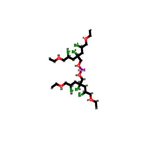 CCOCC(Br)CC(Br)(COPOCC(Br)(CC(Br)COCC)CC(Br)COCC)CC(Br)COCC